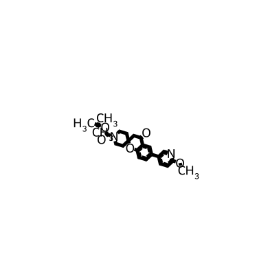 COc1ccc(-c2ccc3c(c2)C(=O)CC2(CCN(C(=O)OC(C)(C)C)CC2)O3)cn1